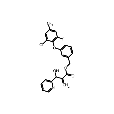 C=C(C(=O)OCc1cccc(Oc2c(F)cc(C(F)(F)F)cc2Cl)c1)C(O)c1ccccn1